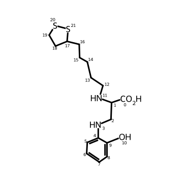 O=C(O)C(CNc1ccccc1O)NCCCCCC1CCSS1